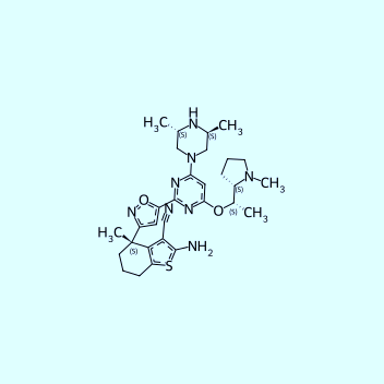 C[C@H](Oc1cc(N2C[C@H](C)N[C@@H](C)C2)nc(-c2cc([C@@]3(C)CCCc4sc(N)c(C#N)c43)no2)n1)[C@@H]1CCCN1C